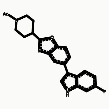 CC(=O)N1CCC(c2nc3cc(-c4c[nH]c5cc(F)ccc45)ccc3o2)CC1